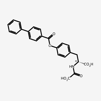 O=C(O)C(=O)N[C@H](Cc1ccc(OC(=O)c2ccc(-c3ccccc3)cc2)cc1)C(=O)O